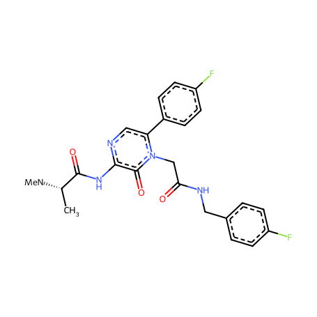 CN[C@@H](C)C(=O)Nc1ncc(-c2ccc(F)cc2)n(CC(=O)NCc2ccc(F)cc2)c1=O